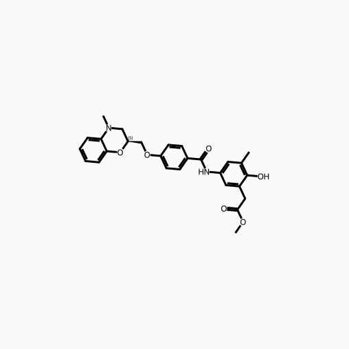 COC(=O)Cc1cc(NC(=O)c2ccc(OC[C@@H]3CN(C)c4ccccc4O3)cc2)cc(C)c1O